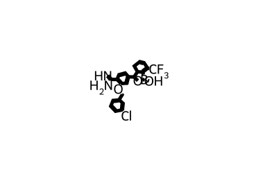 N=C(N)c1ccc(C2OB(O)C3=C(C(F)(F)F)C=CCC32)cc1OCc1cccc(Cl)c1